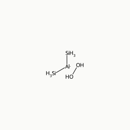 OO.[SiH3][Al][SiH3]